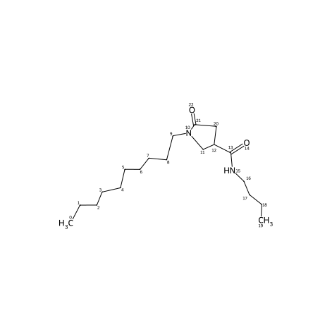 CCCCCCCCCCN1CC(C(=O)NCCCC)CC1=O